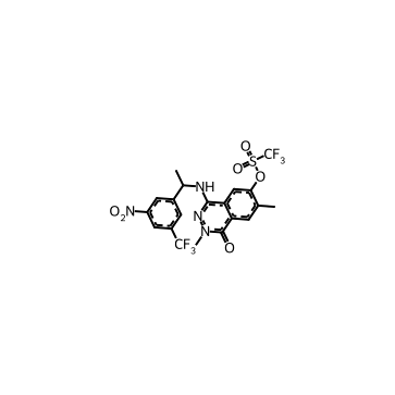 Cc1cc2c(=O)n(C)nc(NC(C)c3cc([N+](=O)[O-])cc(C(F)(F)F)c3)c2cc1OS(=O)(=O)C(F)(F)F